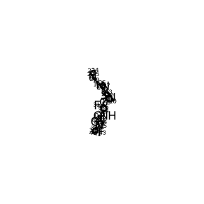 O=C(Nc1ccc(Oc2ccnc3cc(-c4cn(CCCN5CCCC5)cn4)sc23)c(F)c1)N1CCN(c2ccccc2F)C1=O